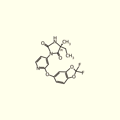 CC[C@@]1(C)NC(=O)N(c2ccnc(Oc3ccc4c(c3)OC(F)(F)O4)c2)C1=O